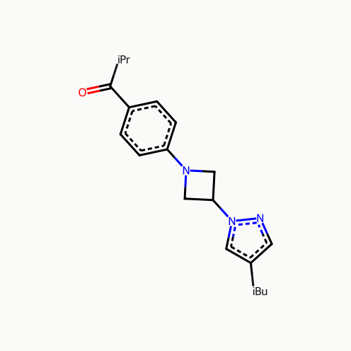 CCC(C)c1cnn(C2CN(c3ccc(C(=O)C(C)C)cc3)C2)c1